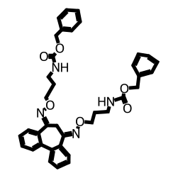 O=C(NCCCON=C1CC(=NOCCCNC(=O)OCc2ccccc2)c2ccccc2-c2ccccc21)OCc1ccccc1